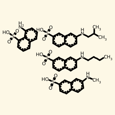 CC(C)CNc1ccc2ccc(S(=O)(=O)O)cc2c1.CCCCNc1ccc2ccc(S(=O)(=O)O)cc2c1.CNc1ccc2ccc(S(=O)(=O)O)cc2c1.Nc1cccc2cccc(S(=O)(=O)O)c12